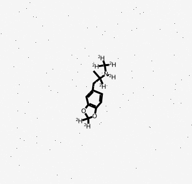 [2H]N(C([2H])([2H])[2H])C([2H])(C)Cc1ccc2c(c1)OC([2H])([2H])O2